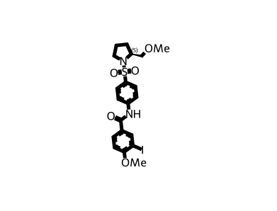 COC[C@@H]1CCCN1S(=O)(=O)c1ccc(NC(=O)c2ccc(OC)c(I)c2)cc1